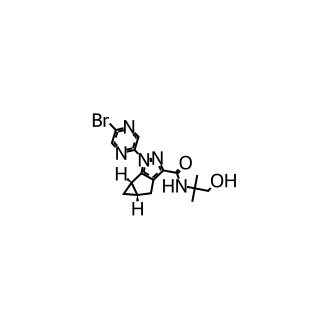 CC(C)(CO)NC(=O)c1nn(-c2cnc(Br)cn2)c2c1C[C@@H]1C[C@H]21